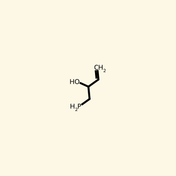 C=CC(O)CP